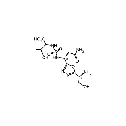 CC(O)C(NS(=O)(=O)N[C@@H](CC(N)=O)c1nnc([C@@H](N)CO)o1)C(=O)O